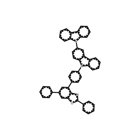 c1ccc(-c2cc(-c3ccc(-n4c5ccccc5c5cc(-n6c7ccccc7c7ccccc76)ccc54)cc3)c3nc(-c4ccccc4)oc3c2)cc1